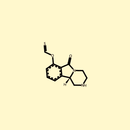 O=C1c2c(OC=S)cccc2[C@H]2CNCCN12